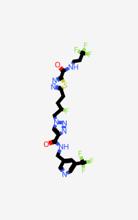 O=C(NCc1cncc(C(F)(F)F)c1)c1cn(CC(F)CCc2nnc(C(=O)NCCC(F)(F)F)s2)nn1